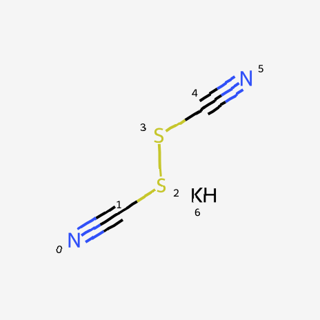 N#CSSC#N.[KH]